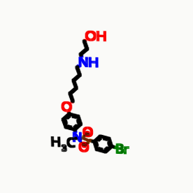 CN(c1ccc(OCCCCCCNCCCO)cc1)S(=O)(=O)c1ccc(Br)cc1